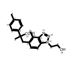 Cc1ccc(C(C)(Cc2ccc3c(nnn3CCO)c2C)C(=O)O)cc1